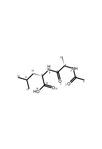 CC(=O)N[C@@H](C)C(=O)N[C@@H](CC(C)C)C(=O)O